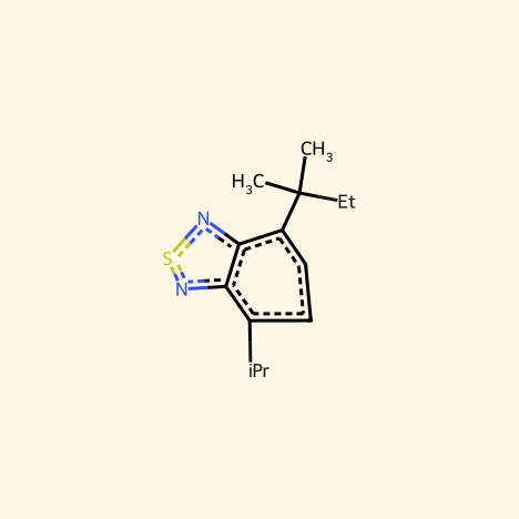 CCC(C)(C)c1ccc(C(C)C)c2nsnc12